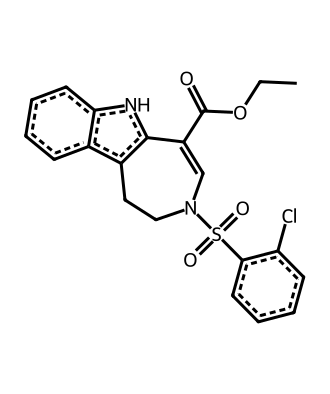 CCOC(=O)C1=CN(S(=O)(=O)c2ccccc2Cl)CCc2c1[nH]c1ccccc21